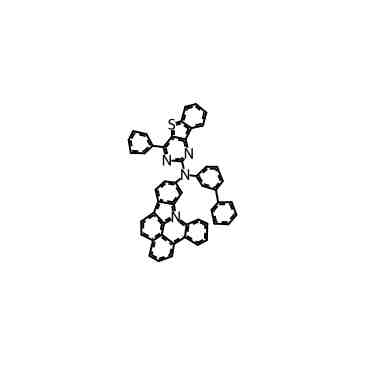 c1ccc(-c2cccc(N(c3ccc4c5ccc6cccc7c8ccccc8n(c4c3)c5c67)c3nc(-c4ccccc4)c4sc5ccccc5c4n3)c2)cc1